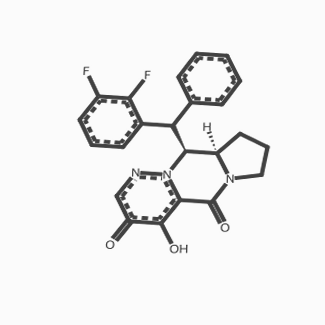 O=C1c2c(O)c(=O)cnn2[C@@H](C(c2ccccc2)c2cccc(F)c2F)[C@H]2CCCN12